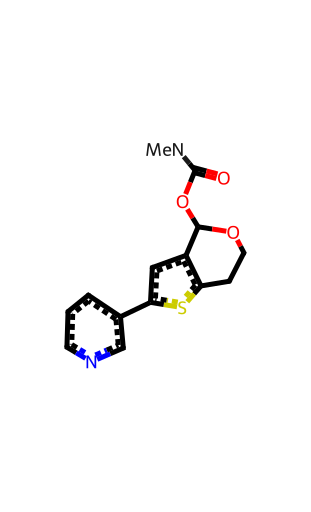 CNC(=O)OC1OCCc2sc(-c3cccnc3)cc21